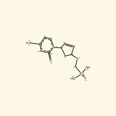 Nc1ccn(C2C=CC(OCP(=O)(O)O)C2)c(=O)n1